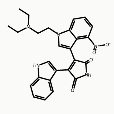 CCN(CC)CCn1cc(C2=C(c3c[nH]c4ccccc34)C(=O)NC2=O)c2c([N+](=O)[O-])cccc21